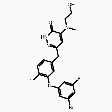 CN(CCO)c1cc(Cc2ccc(Cl)c(Oc3cc(Br)cc(Br)c3)c2)n[nH]c1=O